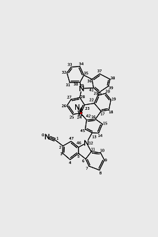 N#Cc1ccc2c3ccccc3n(-c3ccc(-c4ccccc4-c4ccccc4-n4c5ccccc5c5ccccc54)c(C#N)c3)c2c1